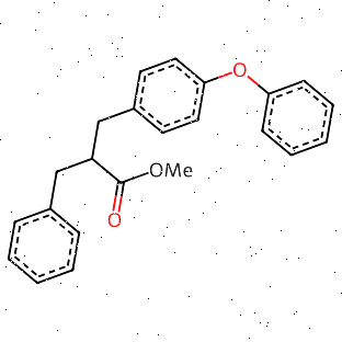 COC(=O)C(Cc1ccccc1)Cc1ccc(Oc2ccccc2)cc1